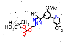 COc1cc(-c2cc(C(F)(F)F)ccn2)cc(-c2nn(CCOC(=O)OCC(C)(C)C(=O)O)nc2C#N)c1